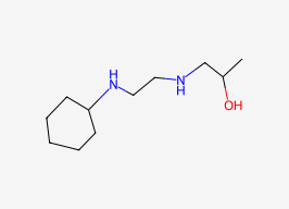 CC(O)CNCCNC1CCCCC1